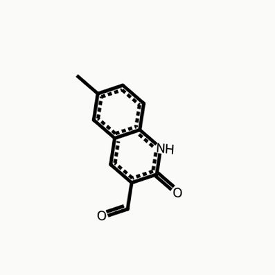 Cc1ccc2[nH]c(=O)c(C=O)cc2c1